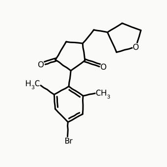 Cc1cc(Br)cc(C)c1C1C(=O)CC(CC2CCOC2)C1=O